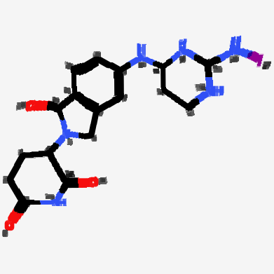 O=C1CCC(N2Cc3cc(NC4CCNC(NI)N4)ccc3C2=O)C(=O)N1